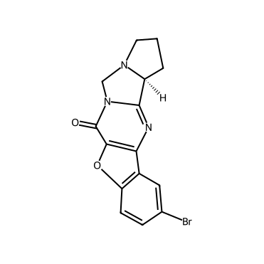 O=c1c2oc3ccc(Br)cc3c2nc2n1CN1CCC[C@@H]21